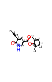 CC#Cc1cc(C(=O)Oc2c(C)cccc2C)c[nH]c1=O